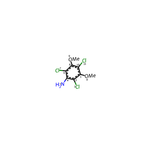 COc1c(Cl)c(N)c(Cl)c(OC)c1Cl